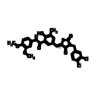 COc1ccc(NC(=O)c2cc(/C=C3\SC(=O)N(Cc4ccc(Cl)c(Cl)c4)C3=O)cc(C)c2O)cc1OC